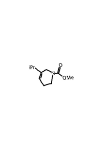 COC(=O)N1CCC=C(C(C)C)C1